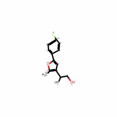 CCCC(CO)c1cc(-c2ccc(F)cc2)oc1C